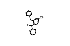 O=C(c1ccccc1)c1ccc(O)cc1Cc1ccccc1